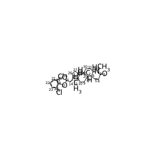 CN1C(=O)C=C[C@]2(C)[C@H]3CC[C@]4(C)[C@@H](CC(=O)Oc5c(Cl)cccc5Cl)CC[C@H]4[C@@H]3CC[C@@H]12